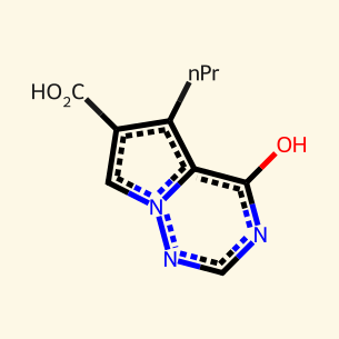 CCCc1c(C(=O)O)cn2ncnc(O)c12